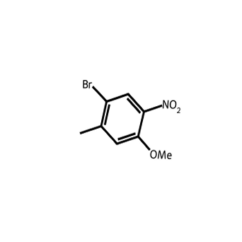 COc1cc(C)c(Br)cc1[N+](=O)[O-]